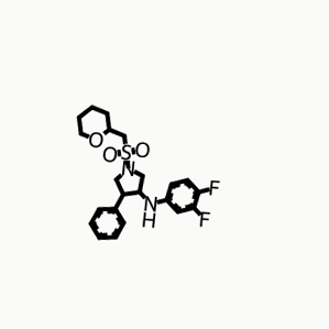 O=S(=O)(CC1CCCCO1)N1CC(Nc2ccc(F)c(F)c2)C(c2ccccc2)C1